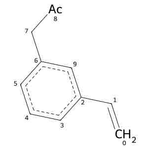 C=Cc1cccc(CC(C)=O)c1